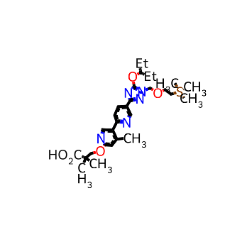 CCC(CC)Oc1nc(-c2ccc(-c3cnc(OCC(C)(C)C(=O)O)cc3C)nc2)nn1COCCS(C)(C)C